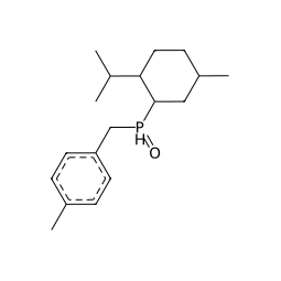 Cc1ccc(C[PH](=O)C2CC(C)CCC2C(C)C)cc1